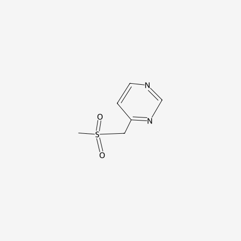 CS(=O)(=O)Cc1ccncn1